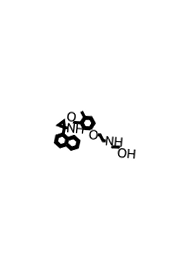 Cc1ccc(OCCNCCO)cc1C(=O)NC1(c2cccc3ccccc23)CC1